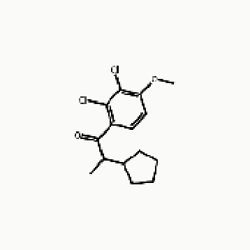 COc1ccc(C(=O)C(C)C2CCCC2)c(Cl)c1Cl